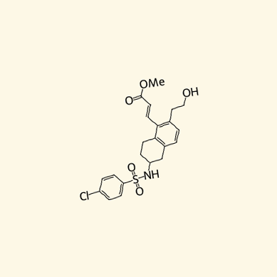 COC(=O)C=Cc1c(CCO)ccc2c1CCC(NS(=O)(=O)c1ccc(Cl)cc1)C2